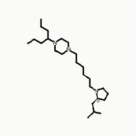 CCCC(CCC)N1CCN(CCCCCCN2CCC[C@H]2CC(C)C)CC1